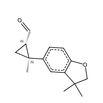 CC1(C)COc2ccc([C@@]3(C)C[C@@H]3C=O)cc21